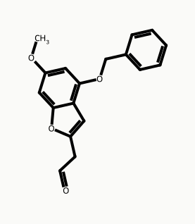 COc1cc(OCc2ccccc2)c2cc(CC=O)oc2c1